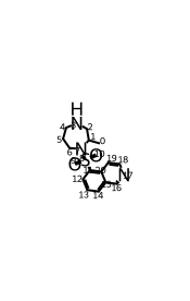 CC1CNCCCN1S(=O)(=O)c1cccc2cnccc12